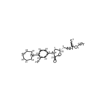 CC(C)OC(=S)NC[C@H]1CN(c2ccc(N3CCCSCC3)c(F)c2)C(=O)O1